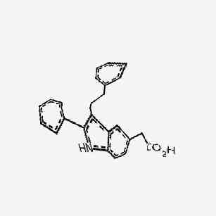 O=C(O)Cc1ccc2[nH]c(-c3ccccc3)c(CCc3ccccc3)c2c1